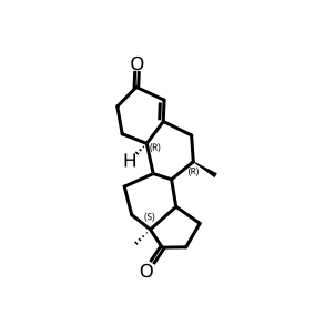 C[C@@H]1CC2=CC(=O)CC[C@@H]2C2CC[C@]3(C)C(=O)CCC3C21